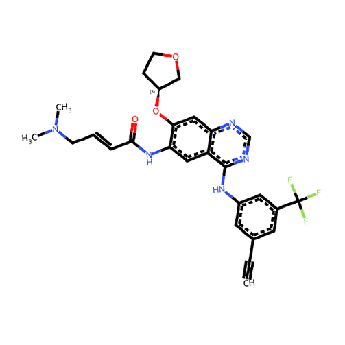 C#Cc1cc(Nc2ncnc3cc(O[C@H]4CCOC4)c(NC(=O)C=CCN(C)C)cc23)cc(C(F)(F)F)c1